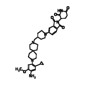 COc1cc(N2CCC3(CCN(CC4CCN(c5ccc6c(c5)C(=O)N(C5CCC(=O)NC5=O)C6=O)CC4)CC3)CC2)c(C2CC2)cc1N